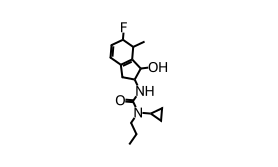 CCCN(C(=O)NC1CC2=C(C(C)C(F)C=C2)C1O)C1CC1